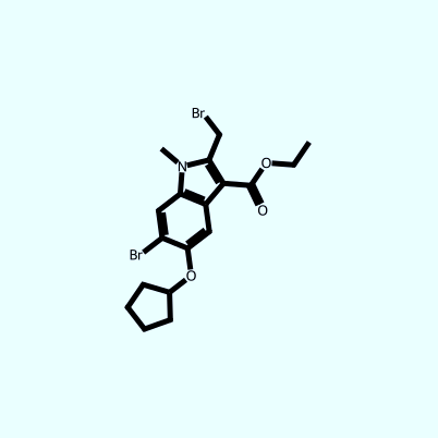 CCOC(=O)c1c(CBr)n(C)c2cc(Br)c(OC3CCCC3)cc12